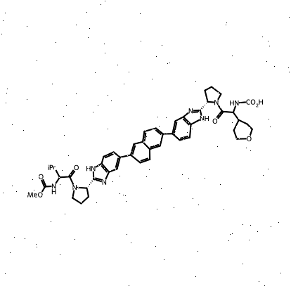 COC(=O)NC(C(=O)N1CCC[C@H]1c1nc2cc(-c3ccc4cc(-c5ccc6[nH]c([C@@H]7CCCN7C(=O)C(NC(=O)O)C7CCOCC7)nc6c5)ccc4c3)ccc2[nH]1)C(C)C